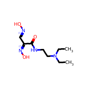 CCN(CC)CCNC(=O)C(/C=N/O)=N\O